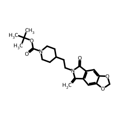 C=C1c2cc3c(cc2C(=O)N1CCC1CCN(C(=O)OC(C)(C)C)CC1)OCO3